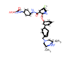 C[C@@H]1CN(Cc2ccc(-c3cccc(Oc4ncc(F)cc4C(=O)NC4CCC(NC(=O)O)CC4)c3)cc2)C[C@H](C)N1